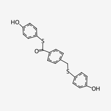 O=C(Sc1ccc(O)cc1)c1ccc(CSc2ccc(O)cc2)cc1